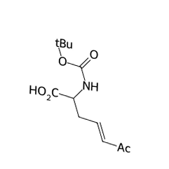 CC(=O)C=CCC(NC(=O)OC(C)(C)C)C(=O)O